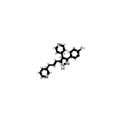 Fc1ccc(-c2n[nH]c(/C=C/Cc3cccnc3)c2-c2ccncc2)cc1